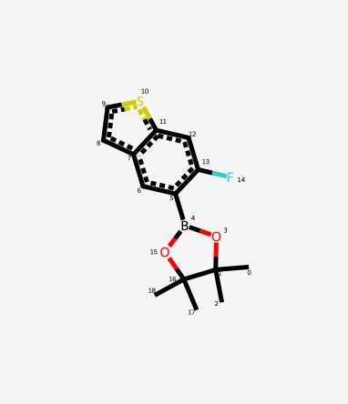 CC1(C)OB(c2cc3ccsc3cc2F)OC1(C)C